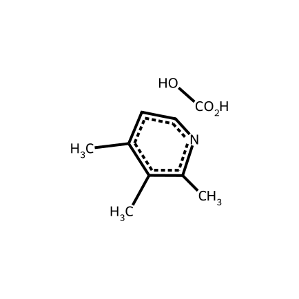 Cc1ccnc(C)c1C.O=C(O)O